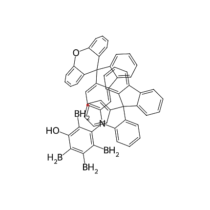 Bc1c(B)c(O)c(B)c(N(c2ccc3c(c2)-c2ccccc2C32c3ccccc3Oc3ccccc32)c2ccccc2C2(c3ccccc3)c3ccccc3-c3ccccc32)c1B